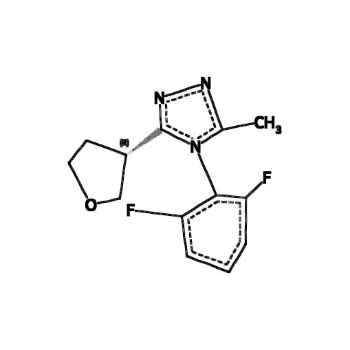 Cc1nnc([C@H]2CCOC2)n1-c1c(F)cccc1F